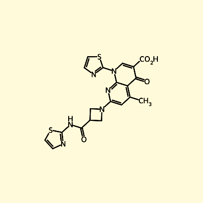 Cc1cc(N2CC(C(=O)Nc3nccs3)C2)nc2c1c(=O)c(C(=O)O)cn2-c1nccs1